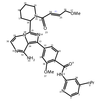 CCCc1ccnc(NC(=O)c2ccc(-c3nc(C4CCCCN4C(=O)/C=C/COC)n4ccnc(N)c34)cc2OC)c1